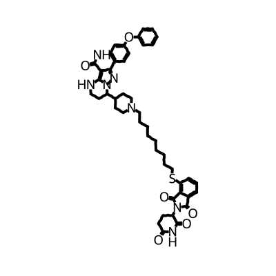 NC(=O)c1c(-c2ccc(Oc3ccccc3)cc2)nn2c1NCCC2C1CCN(CCCCCCCCCSc2cccc3c2C(=O)N(C2CCC(=O)NC2=O)C3=O)CC1